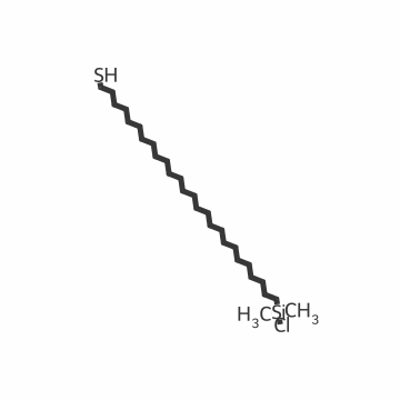 C[Si](C)(Cl)CCCCCCCCCCCCCCCCCCCCCCCCCCS